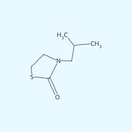 CC(C)CN1CCSC1=O